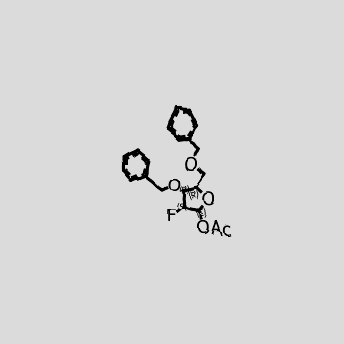 CC(=O)O[C@@H]1O[C@H](COCc2ccccc2)[C@@H](OCc2ccccc2)[C@@H]1F